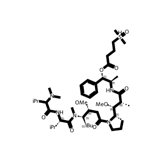 CC[C@H](C)[C@@H]([C@@H](CC(=O)N1CCC[C@H]1[C@H](OC)[C@@H](C)C(=O)N[C@H](C)[C@@H](OC(=O)CCC[SH](C)(C)=O)c1ccccc1)OC)N(C)C(=O)[C@@H](NC(=O)C(C(C)C)N(C)C)C(C)C